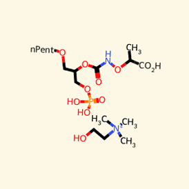 CCCCCOCC(COP(=O)(O)O)OC(=O)NOC(C)C(=O)O.C[N+](C)(C)CCO